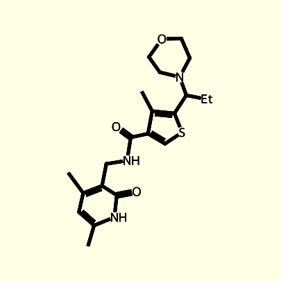 CCC(c1scc(C(=O)NCc2c(C)cc(C)[nH]c2=O)c1C)N1CCOCC1